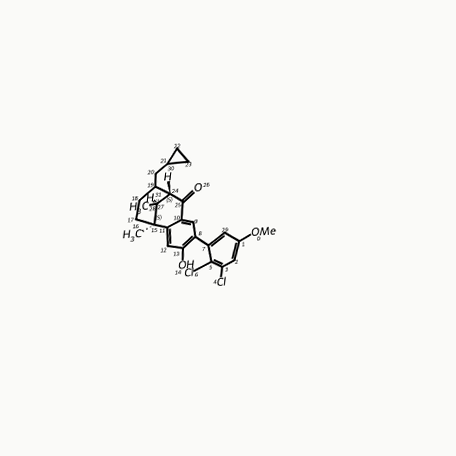 COc1cc(Cl)c(Cl)c(-c2cc3c(cc2O)[C@@]2(C)CCC(CC4CC4)[C@H](C3=O)[C@@H]2C)c1